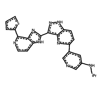 CC(C)Nc1cncc(-c2ccc3[nH]nc(-c4nc5c(-c6cccs6)nccc5[nH]4)c3n2)c1